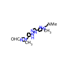 CNCCCN(C)c1ccc(-c2ccnc(Nc3cccc(CN4CCN(CC=O)CC4C)c3)n2)cn1